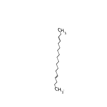 [CH2]CCC=CCCCCCCCCCC=CCC